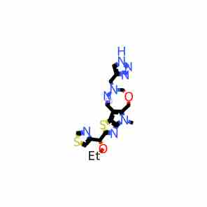 CCOC(c1cscn1)c1nc2c(s1)c1c(n2C)COCN(Cc2c[nH]nn2)/N=C\1